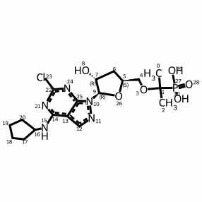 CC(C)(OC[C@@H]1C[C@@H](O)[C@H](n2ncc3c(NC4CCCC4)nc(Cl)nc32)O1)P(=O)(O)O